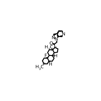 C[C@H]1CC[C@]2(F)C3CC[C@@]4(C)C(CC[C@@H]4C(=O)Cn4ncc5ccncc54)[C@@H]3CC[C@@H]2C1